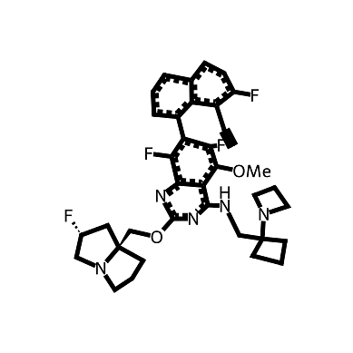 C#Cc1c(F)ccc2cccc(-c3c(F)c(OC)c4c(NCC5(N6CCC6)CCC5)nc(OC[C@@]56CCCN5C[C@H](F)C6)nc4c3F)c12